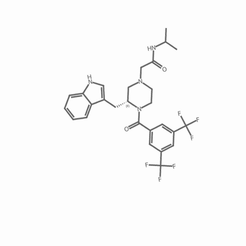 CC(C)NC(=O)CN1CCN(C(=O)c2cc(C(F)(F)F)cc(C(F)(F)F)c2)[C@H](Cc2c[nH]c3ccccc23)C1